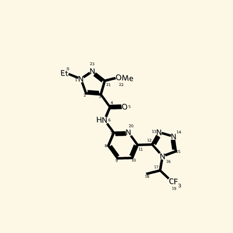 CCn1cc(C(=O)Nc2cccc(-c3nncn3C(C)C(F)(F)F)n2)c(OC)n1